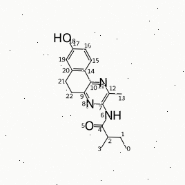 CCC(C)C(=O)Nc1nc2c(nc1C)-c1ccc(O)cc1CC2